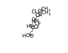 CC(C)Oc1ncc(-c2nc(-c3c(F)ccc4c(CCC(=O)O)c[nH]c34)no2)cc1Cl